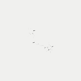 N[C@@H](CCSC(=O)CCCC[C@@H]1SC[C@@H]2NC(=O)N[C@@H]21)C(=O)O